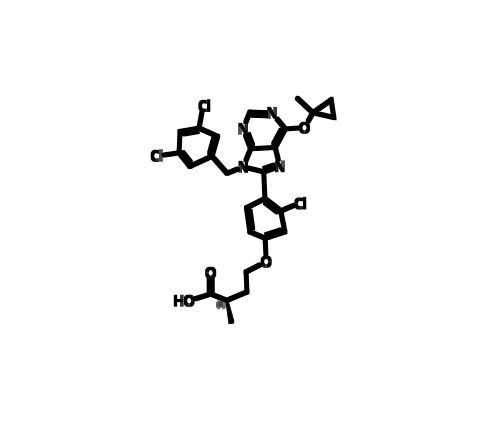 C[C@H](CCOc1ccc(-c2nc3c(OC4(C)CC4)ncnc3n2Cc2cc(Cl)cc(Cl)c2)c(Cl)c1)C(=O)O